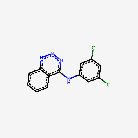 Clc1cc(Cl)cc(Nc2nnnc3ccccc23)c1